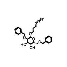 [N-]=[N+]=NCCCO[C@@H]1O[C@H](COCc2ccccc2)[C@H](O)[C@H](O)[C@H]1OCc1ccccc1